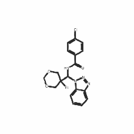 CCC1(C(NC(=O)c2ccc(Cl)cc2)n2nnc3ccccc32)COCOC1